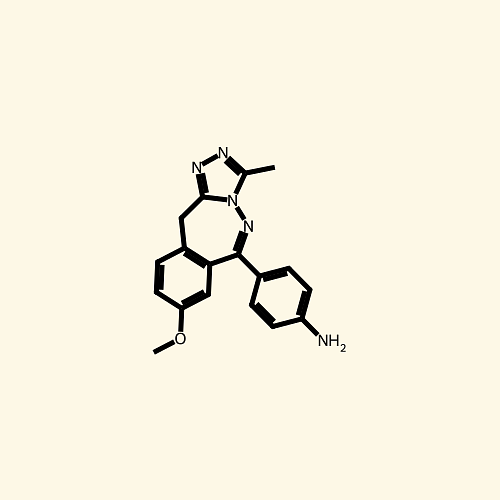 COc1ccc2c(c1)C(c1ccc(N)cc1)=Nn1c(C)nnc1C2